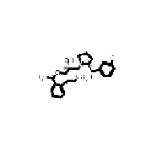 C[C@@H](OC[C@H](O)CN1CCC[C@H]1Cc1cccc(F)c1)c1ccccc1CCC(=O)O